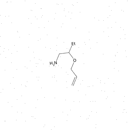 C=CCOC(CC)CN